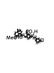 COc1ccc2nccc([C@@H](O)CC[C@@H]3CCN(CCCc4cccc(Cl)c4)C[C@@H]3CC(=O)O)c2c1